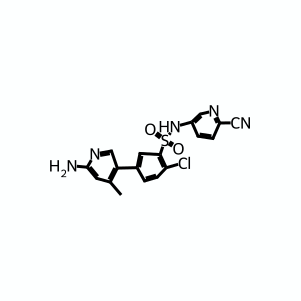 Cc1cc(N)ncc1-c1ccc(Cl)c(S(=O)(=O)Nc2ccc(C#N)nc2)c1